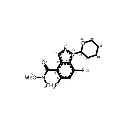 CON(C)C(=O)c1c(F)cc(F)c2c1cnn2C1CCCCO1